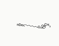 CCCCCCCCCCCCCCCCCCOC[C@@H]1CC[C@H](C)O1